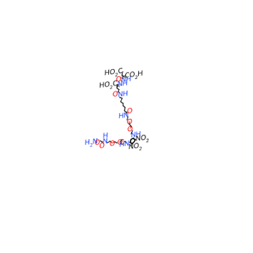 NOCC(=O)NCCOCCOCCNc1cc(NCCOCCOCCNC(=O)CCCCCCCNC(=O)CC[C@H](NC(=O)N[C@@H](CCC(=O)O)C(=O)O)C(=O)O)c([N+](=O)[O-])cc1[N+](=O)[O-]